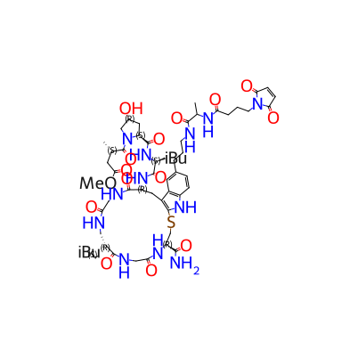 CCC(C)[C@H](NC(=O)[C@@H]1C[C@@H](O)CN1C(=O)[C@@H](C)CC(=O)OC)C(=O)N[C@@H]1Cc2c([nH]c3ccc(CCCNC(=O)C(C)NC(=O)CCCN4C(=O)C=CC4=O)cc23)SC[C@@H](C(N)=O)NC(=O)CNC(=O)[C@H]([C@@H](C)CC)CNC(=O)CNC1=O